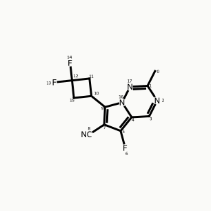 Cc1ncc2c(F)c(C#N)c(C3CC(F)(F)C3)n2n1